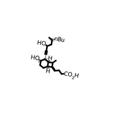 CCCC[C@@H](C)CC(O)C#C[C@@H]1[C@H]2C(C)C(=CCCC(=O)O)[C@H]2CC[C@H]1O